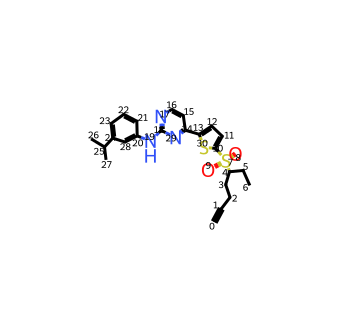 C#CCCC(CC)S(=O)(=O)c1ccc(-c2ccnc(Nc3cccc(C(C)C)c3)n2)s1